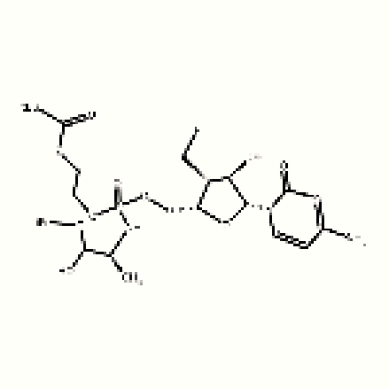 CC(C)OC(O)[C@H](C)NP(=O)(OCCSC(=O)C(C)(C)C)OC[C@H]1O[C@@H](n2ccc(N)nc2=O)[C@H](O)[C@@H]1CF